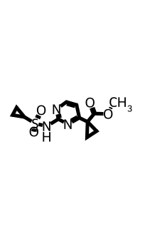 COC(=O)C1(c2ccnc(NS(=O)(=O)C3CC3)n2)CC1